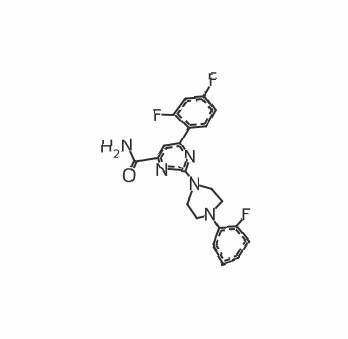 NC(=O)c1cc(-c2ccc(F)cc2F)nc(N2CCN(c3ccccc3F)CC2)n1